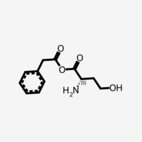 N[C@@H](CCO)C(=O)OC(=O)Cc1ccccc1